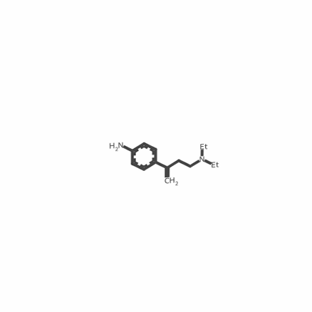 C=C(CCN(CC)CC)c1ccc(N)cc1